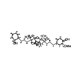 COc1cc(CCC[Si](C)(C)C(C)(C)O[Si](C)(C)C(C)(C)CCCc2ccccc2O)ccc1O